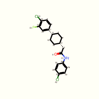 O=C(C[C@H]1CC[C@@H](c2ccc(Cl)c(F)c2)CC1)Nc1ccc(Cl)cc1